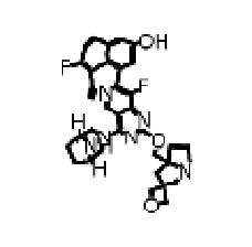 C#Cc1c(F)ccc2cc(O)cc(-c3ncc4c(N5C[C@H]6CC[C@@H](C5)N6)nc(OCC56CCCN5CC5(COC5)C6)nc4c3F)c12